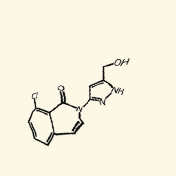 O=c1c2c(Cl)cccc2ccn1-c1cc(CO)[nH]n1